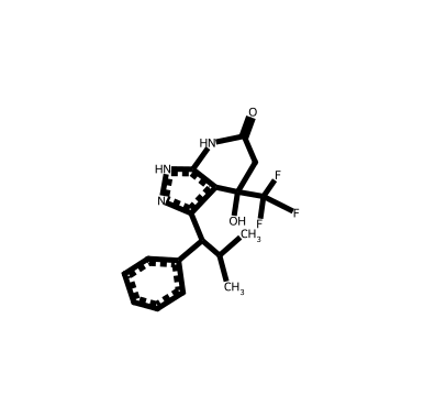 CC(C)C(c1ccccc1)c1n[nH]c2c1C(O)(C(F)(F)F)CC(=O)N2